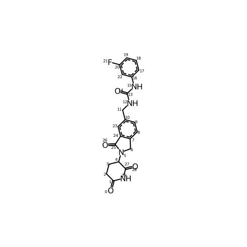 O=C1CCC(N2Cc3ccc(CNC(=O)Nc4cccc(F)c4)cc3C2=O)C(=O)N1